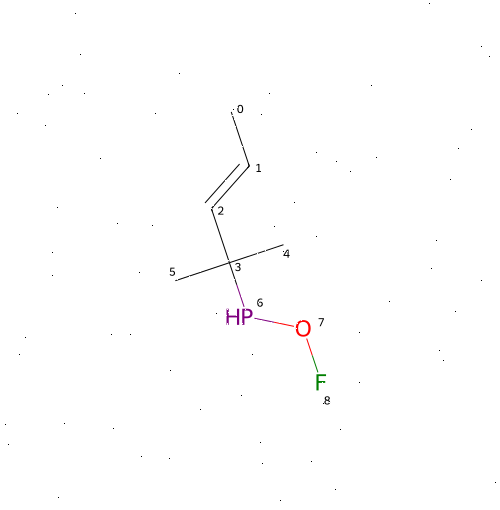 CC=CC(C)(C)POF